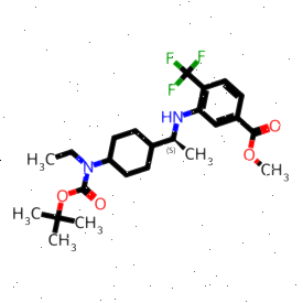 CCN(C(=O)OC(C)(C)C)C1CCC([C@H](C)Nc2cc(C(=O)OC)ccc2C(F)(F)F)CC1